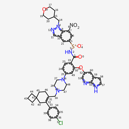 O=C(N[S+]([O-])c1cc([N+](=O)[O-])c2c(cnn2CC2CCOCC2)c1)c1ccc(N2CCN(CC3=C(c4ccc(Cl)cc4)CC4(CCC4)CC3)CC2)cc1Oc1cnc2[nH]ccc2c1